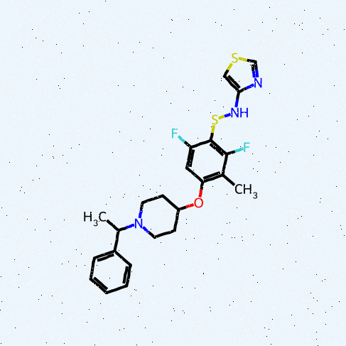 Cc1c(OC2CCN(C(C)c3ccccc3)CC2)cc(F)c(SNc2cscn2)c1F